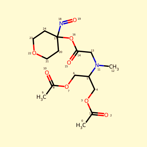 CC(=O)OCC(COC(C)=O)N(C)CC(=O)OC1(N=O)CCOCC1